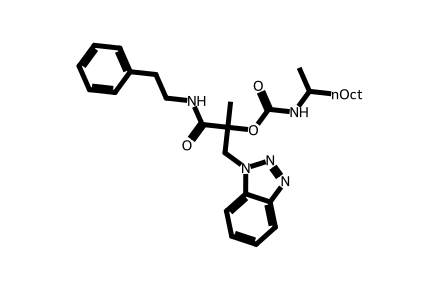 CCCCCCCCC(C)NC(=O)OC(C)(Cn1nnc2ccccc21)C(=O)NCCc1ccccc1